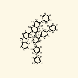 C1=CC2Oc3ccccc3C2C(c2nc(-c3ccc(-c4ccccc4)cc3)nc(-c3ccc(-c4ccccc4)cc3)n2)=C1c1ccc2cc(-c3ccccc3)ccc2c1